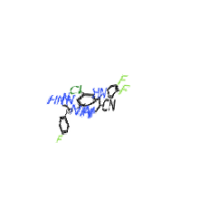 N#Cc1cnc2c(N[C@@H](c3ccc(F)cc3)c3c[nH]nn3)cc(Cl)cc2c1Nc1ccc(F)c(F)c1